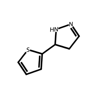 C1=NNC(c2cccs2)C1